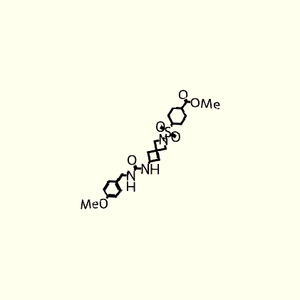 COC(=O)C1CCC(S(=O)(=O)N2CC3(CC(NC(=O)NCc4ccc(OC)cc4)C3)C2)CC1